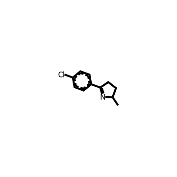 CC1CCC(c2ccc(Cl)cc2)=N1